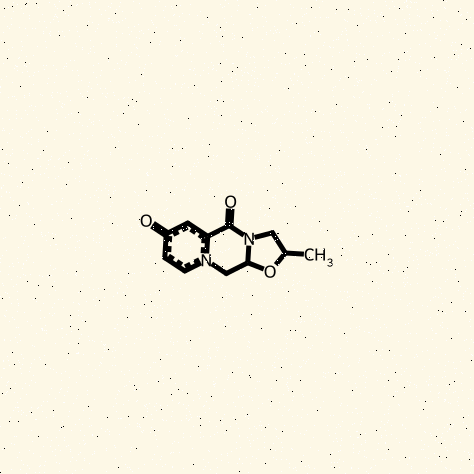 CC1CN2C(=O)c3cc(=O)ccn3CC2O1